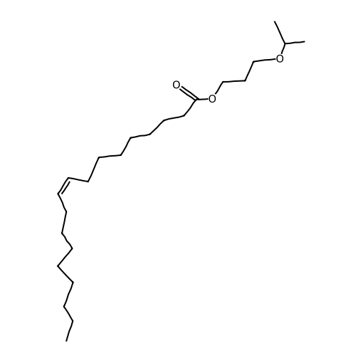 CCCCCCCC/C=C\CCCCCCCC(=O)OCCCOC(C)C